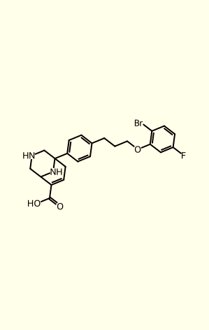 O=C(O)C1=CCC2(c3ccc(CCCOc4cc(F)ccc4Br)cc3)CNCC1N2